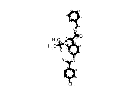 Cc1ccc(C(=O)Nc2ccc3c(C(=O)NCc4ccccn4)nn(C(C)(C)C)c3n2)cc1